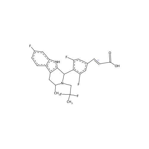 CC1Cc2c([nH]c3cc(F)ccc23)C(c2c(F)cc(/C=C/C(=O)O)cc2F)N1CC(C)(F)F